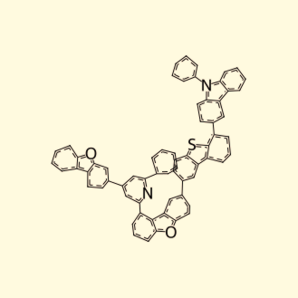 c1ccc(-c2cc(-c3ccc4c(c3)oc3ccccc34)cc(-c3cccc4oc5ccc(-c6ccc7sc8c(-c9ccc%10c(c9)c9ccccc9n%10-c9ccccc9)cccc8c7c6)cc5c34)n2)cc1